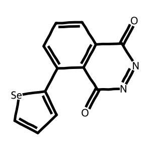 O=C1N=NC(=O)c2c1cccc2-c1ccc[se]1